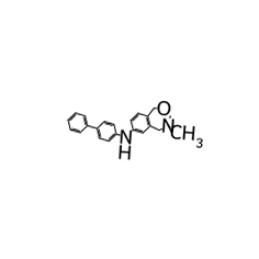 CN1COCc2ccc(Nc3ccc(-c4ccccc4)cc3)cc2C1